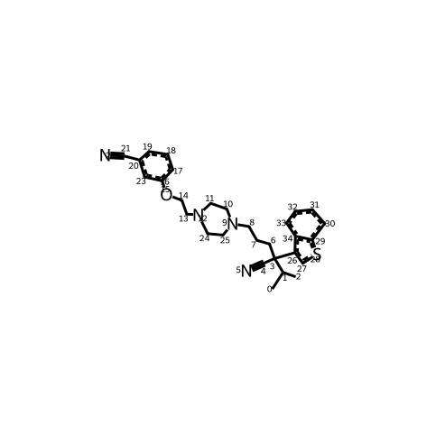 CC(C)C(C#N)(CCCN1CCN(CCOc2cccc(C#N)c2)CC1)c1csc2ccccc12